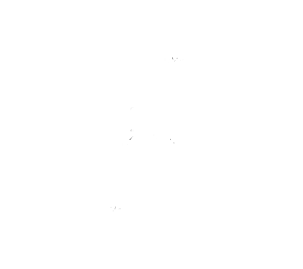 C=CC[C@@H](C)[C@H](O)S(=O)(=O)N(Cc1ccc(OC)cc1)Cc1ccc(OC)cc1